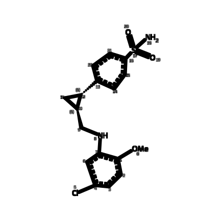 COc1ccc(Cl)cc1NC[C@H]1C[C@@H]1c1ccc(S(N)(=O)=O)cc1